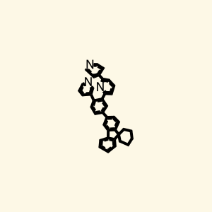 c1cncc(-c2ccc(-c3ccc4c(c3)-c3ccccc3C43CCCCC3)cc2-c2cccc(-c3ccncc3)n2)c1